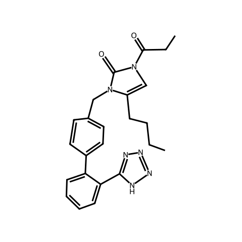 CCCCc1cn(C(=O)CC)c(=O)n1Cc1ccc(-c2ccccc2-c2nnn[nH]2)cc1